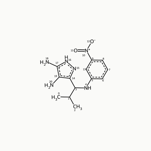 CC(C)C(Nc1[c]ccc([N+](=O)[O-])c1)c1n[nH]c(N)c1N